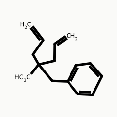 C=CCC(CC=C)(Cc1ccccc1)C(=O)O